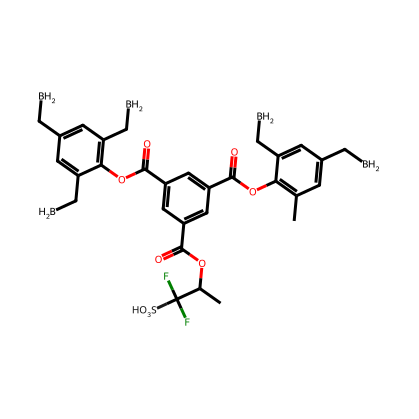 BCc1cc(C)c(OC(=O)c2cc(C(=O)Oc3c(CB)cc(CB)cc3CB)cc(C(=O)OC(C)C(F)(F)S(=O)(=O)O)c2)c(CB)c1